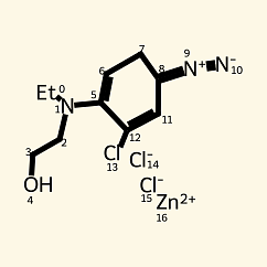 CCN(CCO)C1=CCC(=[N+]=[N-])C=C1Cl.[Cl-].[Cl-].[Zn+2]